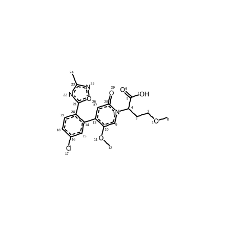 COCCC(C(=O)O)n1cc(OC)c(-c2cc(Cl)ccc2-c2nc(C)no2)cc1=O